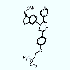 CO/N=C1/CCc2cc(C(CC(=O)c3ccc(OCCN(C)C)cc3)C(=O)c3ccncc3)ccc21